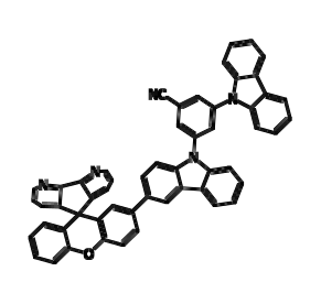 N#Cc1cc(-n2c3ccccc3c3ccccc32)cc(-n2c3ccccc3c3cc(-c4ccc5c(c4)C4(c6ccccc6O5)c5cccnc5-c5ncccc54)ccc32)c1